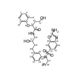 Cc1cccc(C)c1OC(CCO)C(=O)NCC(O)CCc1cccc(N(CC(C)C)S(=O)(=O)c2ccc3nc(N)oc3c2)c1